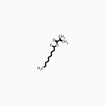 C=C(C)C(=O)OC(F)CCCCCCCC